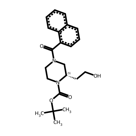 CC(C)(C)OC(=O)N1CCN(C(=O)c2cccc3ccccc23)C[C@@H]1CCO